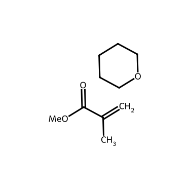 C1CCOCC1.C=C(C)C(=O)OC